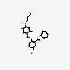 CCCCNc1c(F)c(F)c(C(=O)Nc2ccc(OC)cc2-c2nc3ccccc3s2)c(F)c1F